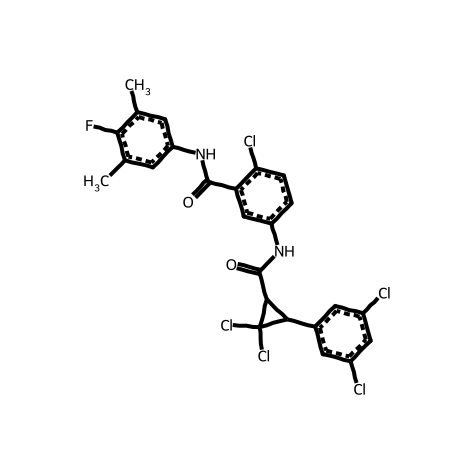 Cc1cc(NC(=O)c2cc(NC(=O)C3C(c4cc(Cl)cc(Cl)c4)C3(Cl)Cl)ccc2Cl)cc(C)c1F